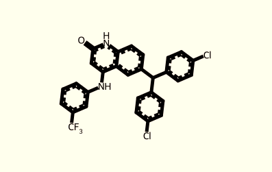 O=c1cc(Nc2cccc(C(F)(F)F)c2)c2cc(C(c3ccc(Cl)cc3)c3ccc(Cl)cc3)ccc2[nH]1